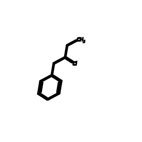 CCC(Cl)CC1C=CCC=C1